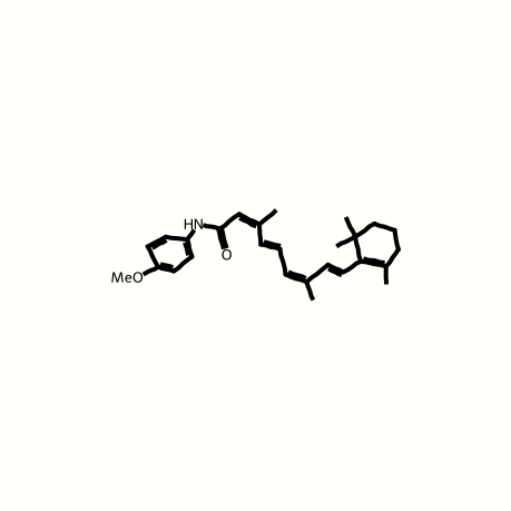 COc1ccc(NC(=O)C=C(C)C=CC=C(C)C=CC2=C(C)CCCC2(C)C)cc1